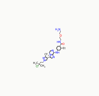 CCc1cc(Nc2nccn3c(-c4cn(CCC(C)(C)Cl)nc4C(F)(F)F)cnc23)ccc1C(=O)NCCOCCN